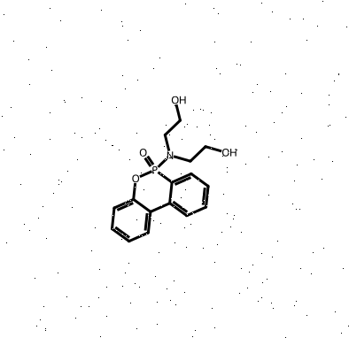 O=P1(N(CCO)CCO)Oc2ccccc2-c2ccccc21